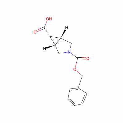 O=C(O)[C@@H]1[C@@H]2CN(C(=O)OCc3ccccc3)C[C@@H]21